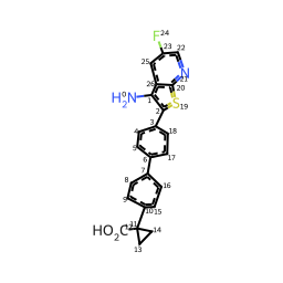 Nc1c(-c2ccc(-c3ccc(C4(C(=O)O)CC4)cc3)cc2)sc2ncc(F)cc12